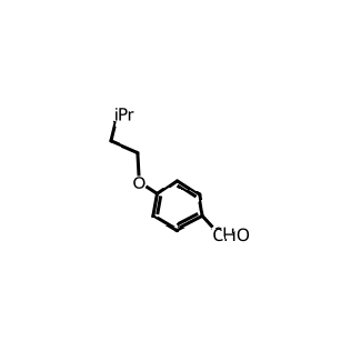 CC(C)CCOc1ccc(C=O)cc1